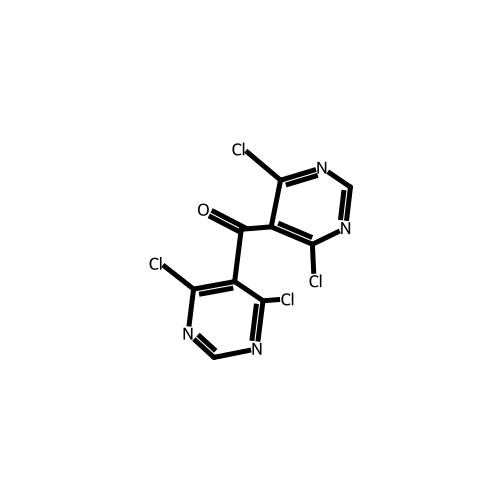 O=C(c1c(Cl)ncnc1Cl)c1c(Cl)ncnc1Cl